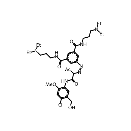 CCN(CC)CCCNC(=O)c1cc(/N=N\C(C(C)=O)C(=O)Nc2cc(CO)c(Cl)cc2OC)cc(C(=O)NCCCN(CC)CC)c1